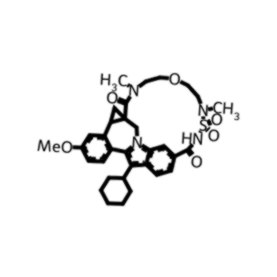 COc1ccc2c(c1)C1CC13Cn1c-2c(C2CCCCC2)c2ccc(cc21)C(=O)NS(=O)(=O)N(C)CCOCCN(C)C3=O